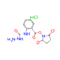 Cl.NNC(=O)Nc1ccccc1C(=O)ON1C(=O)CCC1=O